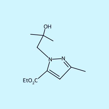 CCOC(=O)c1cc(C)nn1CC(C)(C)O